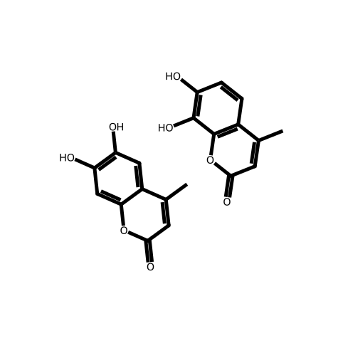 Cc1cc(=O)oc2c(O)c(O)ccc12.Cc1cc(=O)oc2cc(O)c(O)cc12